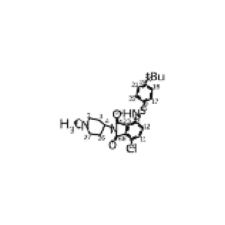 CN1CCC(N2C(=O)c3c(Cl)ccc(NSc4ccc(C(C)(C)C)cc4)c3C2=O)CC1